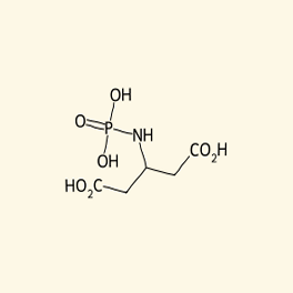 O=C(O)CC(CC(=O)O)NP(=O)(O)O